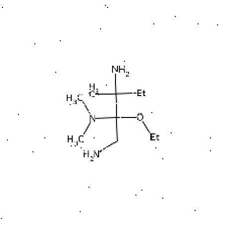 CCOC(CN)(N(C)C)C(C)(N)CC